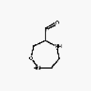 O=[C]C1CONCCN1